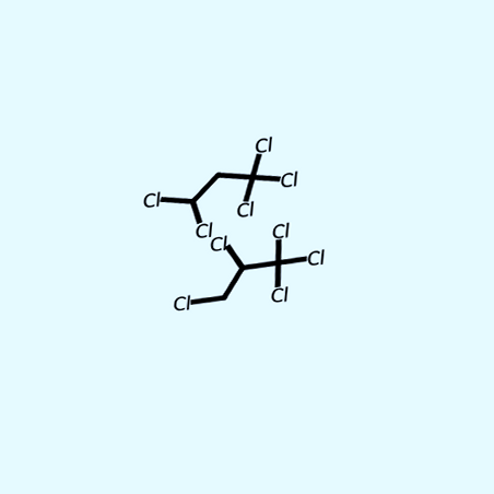 ClC(Cl)CC(Cl)(Cl)Cl.ClCC(Cl)C(Cl)(Cl)Cl